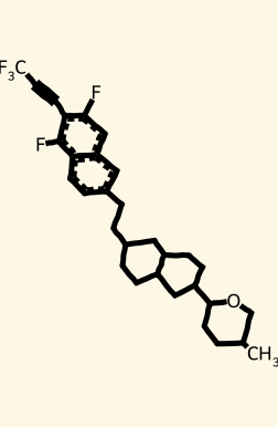 CC1CCC(C2CCC3CC(CCc4ccc5c(F)c(C#CC(F)(F)F)c(F)cc5c4)CCC3C2)OC1